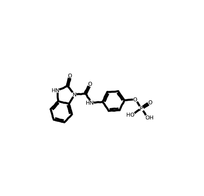 O=C(Nc1ccc(OP(=O)(O)O)cc1)n1c(=O)[nH]c2ccccc21